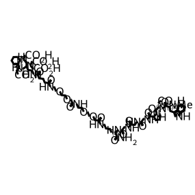 CN[C@@H](Cc1c[nH]c2ccccc12)C(=O)N[C@@H](CC(=O)O)C(=O)N1CCCC1C(=O)NCC(=O)NCC(=O)NCC(=O)N[C@@H](CCCCNC(=O)COCCOCCNC(=O)COCCOCCNC(=O)CCCC(=O)NCCC1(N(CC(=O)O)CC(=O)O)CN(CC(=O)O)[C@@H]2CCCC[C@H]2N(CC(=O)O)C1)C(N)=O